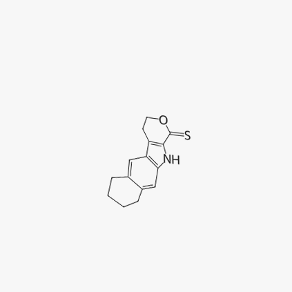 S=C1OCCc2c1[nH]c1cc3c(cc21)CCCC3